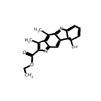 CCOC(=O)C1=C(C)c2c(C)c3c(cc2=N1)-c1c(O)cccc1N=3